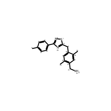 Cc1ccc(-c2nsc(Cc3cc(C)c(CN)cc3C)n2)cc1